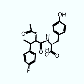 CC(=O)SC(C(=O)N[C@@H](Cc1ccc(O)cc1)C(=O)O)C(C)c1ccc(F)cc1